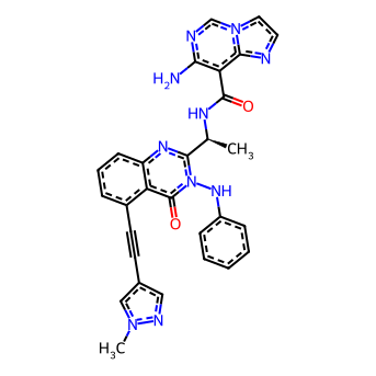 C[C@H](NC(=O)c1c(N)ncn2ccnc12)c1nc2cccc(C#Cc3cnn(C)c3)c2c(=O)n1Nc1ccccc1